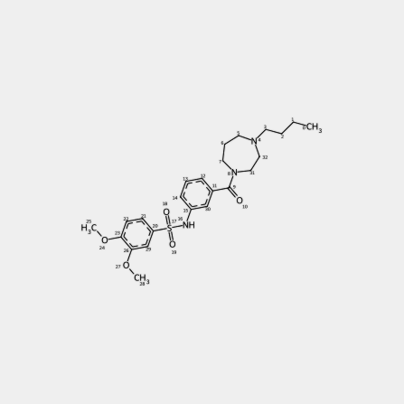 CCCCN1CCCN(C(=O)c2cccc(NS(=O)(=O)c3ccc(OC)c(OC)c3)c2)CC1